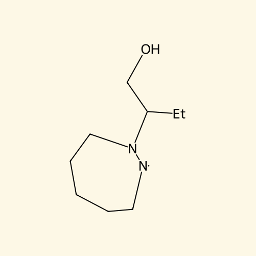 CCC(CO)N1CCCCC[N]1